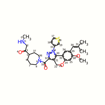 CNCC(=O)C1CCCN(C(=O)c2nn(-c3ccsc3)c3c2COc2cc(OC)c(C=C(C)C)cc2-3)CC1